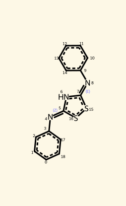 c1ccc(/N=c2/[nH]/c(=N\c3ccccc3)ss2)cc1